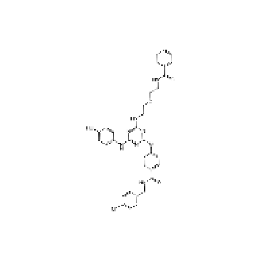 O=C(NCCOCCNc1nc(Nc2ccc(O)cc2)nc(Nc2ccc(C(=O)NCc3ccc(Cl)cc3)cc2)n1)c1ccccc1